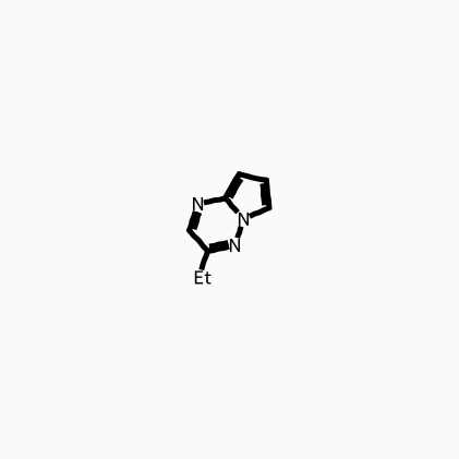 CCc1cnc2cccn2n1